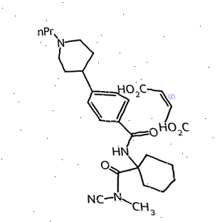 CCCN1CCC(c2ccc(C(=O)NC3(C(=O)N(C)C#N)CCCCC3)cc2)CC1.O=C(O)/C=C\C(=O)O